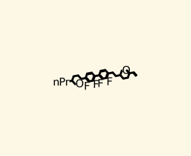 C=CC1CCC(CCc2ccc(-c3ccc(C4CCC(CCC)CO4)c(F)c3F)c(F)c2F)CO1